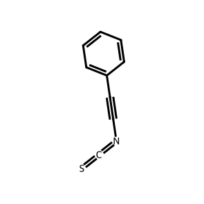 S=C=NC#Cc1ccccc1